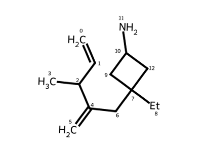 C=CC(C)C(=C)CC1(CC)CC(N)C1